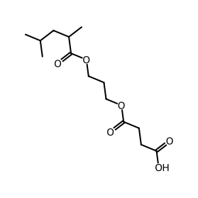 CC(C)CC(C)C(=O)OCCCOC(=O)CCC(=O)O